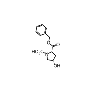 O=C(OCc1ccccc1)[C@@H]1C[C@H](O)CN1C(=O)O